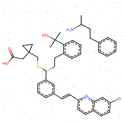 CC(C)(O)c1ccccc1CC[C@@H](SCC1(CC(=O)O)CC1)c1cccc(/C=C/c2ccc3ccc(Cl)cc3n2)c1.CC(N)CCc1ccccc1